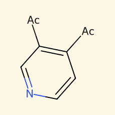 CC(=O)c1ccncc1C(C)=O